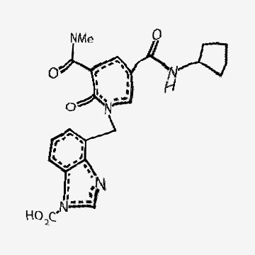 CNC(=O)c1cc(C(=O)NC2CCC2)cn(Cc2cccc3c2ncn3C(=O)O)c1=O